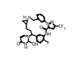 NCc1cccc(-n2nc(C(F)(F)F)cc2C(=O)Nc2cc(C(CCC3CC3)N3C=CC(=O)NC3O)ccc2F)c1